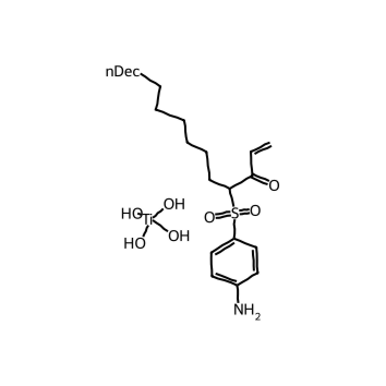 C=CC(=O)C(CCCCCCCCCCCCCCCC)S(=O)(=O)c1ccc(N)cc1.[OH][Ti]([OH])([OH])[OH]